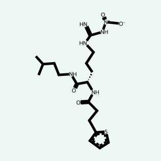 CC(C)C[CH]NC(=O)[C@H](CCCNC(=N)N[N+](=O)[O-])NC(=O)CCc1cccs1